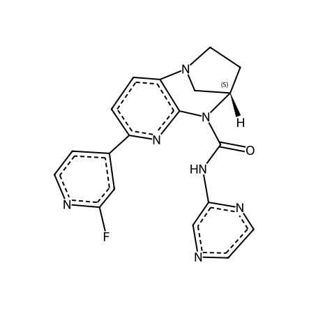 O=C(Nc1cnccn1)N1c2nc(-c3ccnc(F)c3)ccc2N2CC[C@H]1C2